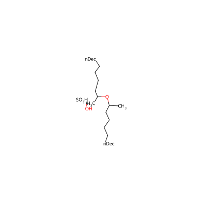 CCCCCCCCCCCCCCC(C)OC(C)CCCCCCCCCCCCCC.O=S(=O)(O)O